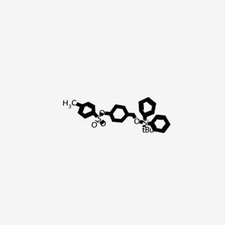 Cc1ccc(S(=O)(=O)OC2CCC(CO[Si](c3ccccc3)(c3ccccc3)C(C)(C)C)CC2)cc1